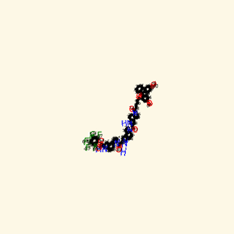 COc1ccc(C(OCCCCCC(=O)n2ccc3c4c(ccc32)NC(C(=O)n2ccc3c5c(ccc32)NC(C(=O)n2ccc3c6c(ccc32)NC(C(=O)Oc2c(F)c(F)c(F)c(F)c2F)C6)C5)C4)(c2ccccc2)c2ccc(OC)cc2)cc1